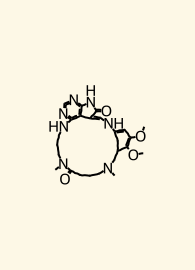 COC1=C(OC)C2CC(=C1)N/C=C1\C(=O)Nc3ncnc(c31)NCCCN(C)C(=O)CCCN(C)C2